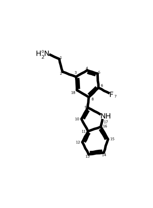 NCCc1ccc(F)c(-c2cc3ccccc3[nH]2)c1